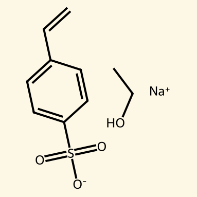 C=Cc1ccc(S(=O)(=O)[O-])cc1.CCO.[Na+]